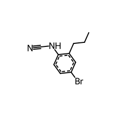 CCCc1cc(Br)ccc1NC#N